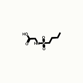 CCCCS(=O)(=O)NCC(=O)O